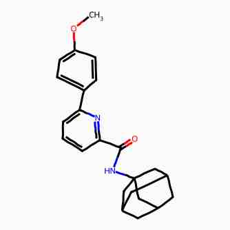 COc1ccc(-c2cccc(C(=O)NC34CC5CC(CC(C5)C3)C4)n2)cc1